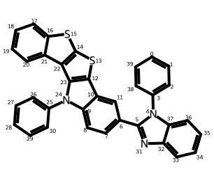 c1ccc(-n2c(-c3ccc4c(c3)c3sc5sc6ccccc6c5c3n4-c3ccccc3)nc3ccccc32)cc1